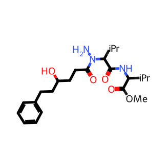 COC(=O)C(NC(=O)C(C(C)C)N(N)C(=O)CCC(O)CCc1ccccc1)C(C)C